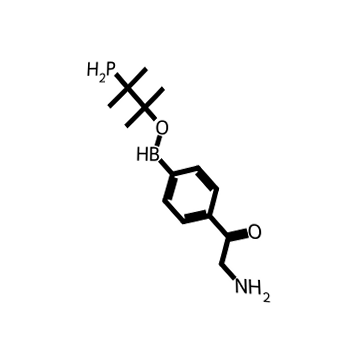 CC(C)(P)C(C)(C)OBc1ccc(C(=O)CN)cc1